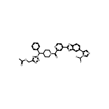 CC(=O)OCc1nnn(C(c2ccccc2)C2CCN(C(=O)c3cc(-c4nc5cc(-c6cncn6C(F)F)ccc5o4)ccn3)CC2)n1